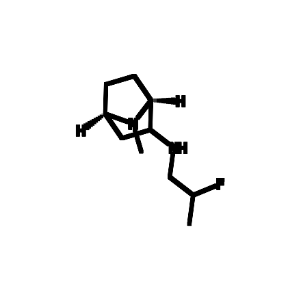 CC(F)CNC1C[C@H]2CC[C@@H]1N2C